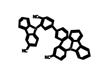 N#Cc1ccc(-n2c3ccccc3c3ccccc32)c(-c2cccc(-c3ccc(C#N)c(-n4c5ccccc5c5cc(C#N)ccc54)c3)c2)c1